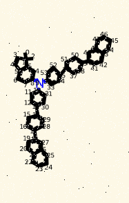 CC1(C)C=Cc2ccc(N(c3ccc(-c4ccc(-c5ccc6ccccc6c5)cc4)cc3)c3ccc(-c4ccc(-c5ccc6ccccc6c5)cc4)cc3)cc21